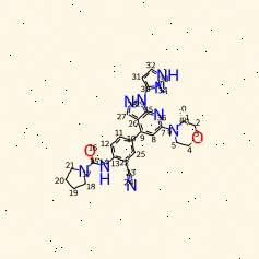 C[C@@H]1COCCN1c1cc(-c2ccc(NC(=O)N3CCCC3)c(C#N)c2)c2cnn(-c3cc[nH]n3)c2n1